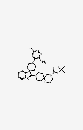 CC(C)(C)OC(=O)N1CCOC2(CCN(C(=O)C3(c4ccccc4)CCN(c4cc(Cl)nnc4N)CC3)CC2)C1